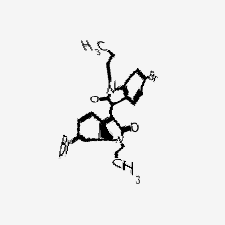 CCCN1C(=O)C(C2C(=O)N(CCC)c3cc(Br)ccc32)c2ccc(Br)cc21